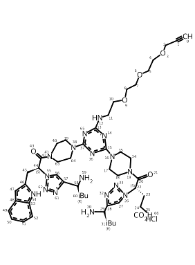 C#CCOCCOCCOCCNc1nc(N2CCN(C(=O)[C@H](CCC(=O)O)n3cc(C(N)[C@H](C)CC)nn3)CC2)nc(N2CCN(C(=O)[C@H](Cc3cc4ccccc4[nH]3)n3cc(C(N)[C@H](C)CC)nn3)CC2)n1.Cl